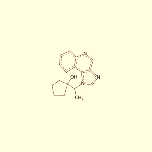 CC(n1cnc2cnc3ccccc3c21)C1(O)CCCC1